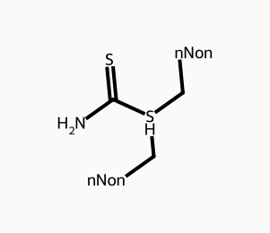 CCCCCCCCCC[SH](CCCCCCCCCC)C(N)=S